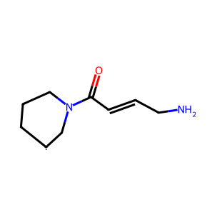 NCC=CC(=O)N1C[CH]CCC1